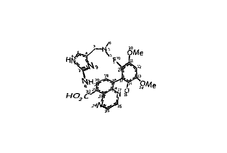 CN(C)Cc1c[nH]c(N)n1.COc1cc(OC)c(Cl)c(-c2ccc(C(=O)O)c3nccnc23)c1F